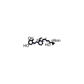 C=C1/C(=C\C=C2/CCC[C@]3(C)[C@@H]([C@H](C)/C=C/[C@H](O)C4(CCCCCCCCC)CC4)CC[C@@H]23)C[C@@H](O)C[C@@H]1O